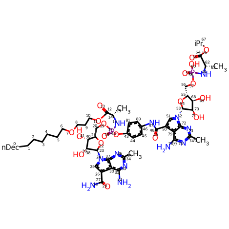 CCCCCCCCCCCCCCCCOCCCOC(=O)[C@H](C)NP(=O)(OC[C@H]1O[C@@H](n2cc(C(N)=O)c3c(N)nc(C)nc32)[C@H](O)[C@@H]1O)Oc1ccc(NC(=O)c2cn([C@@H]3O[C@H](COP(=O)(O)N[C@@H](C)C(=O)OC(C)C)[C@@H](O)[C@H]3O)c3nc(C)nc(N)c23)cc1